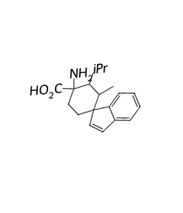 CC(C)C1C(C)C2(C=Cc3ccccc32)CCC1(N)C(=O)O